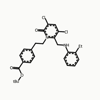 CCc1ccccc1NCc1c(Cl)cc(Cl)c(=O)n1CCc1ccc(C(=O)OC(C)(C)C)cc1